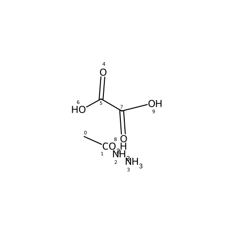 CC(=O)O.N.N.O=C(O)C(=O)O